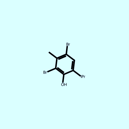 Cc1c(Br)cc(C(C)C)c(O)c1Br